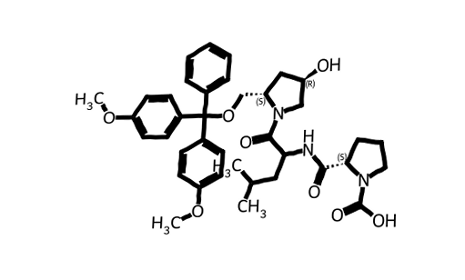 COc1ccc(C(OC[C@@H]2C[C@@H](O)CN2C(=O)C(CC(C)C)NC(=O)[C@@H]2CCCN2C(=O)O)(c2ccccc2)c2ccc(OC)cc2)cc1